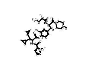 CCn1nccc1C(=O)N[C@H](C(=O)Nc1ccc([C@H](C)[C@@H](NC(=O)[C@@H](C)CC(F)(F)F)C(=O)N2CCN(C)CC2)cc1F)C(C1CC1)C1CC1